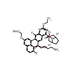 COCOc1cc(-c2c(C(=O)OC)cc3c(N4C[C@H]5CC[C@@H](C4)N5C(=O)OC(C)(C)C)nc(OCC(F)(F)F)nc3c2F)c2c(CCCCCN)c(F)ccc2c1